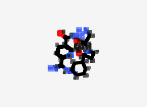 N=C(N)c1ccc(C(N)=O)cn1.NCC(=O)N1CCC1(OC(=O)O)C1CCCCC1